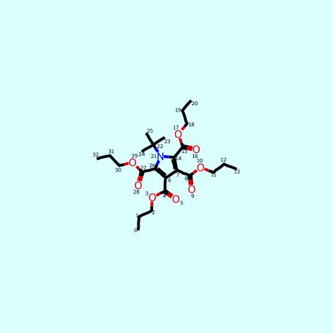 CCCOC(=O)c1c(C(=O)OCCC)c(C(=O)OCCC)n(C(C)(C)C)c1C(=O)OCCC